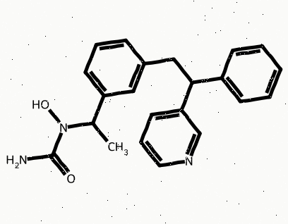 CC(c1cccc(CC(c2ccccc2)c2cccnc2)c1)N(O)C(N)=O